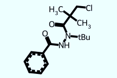 CC(C)(CCl)C(=O)N(NC(=O)c1ccccc1)C(C)(C)C